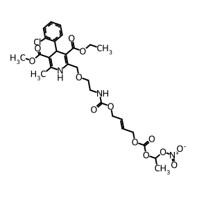 CCOC(=O)C1=C(COCCNC(=O)OCC=CCOC(=O)OC(C)O[N+](=O)[O-])NC(C)=C(C(=O)OC)C1c1ccccc1Cl